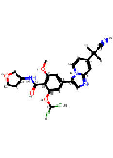 COc1cc(-c2cnc3cc(C(C)(C)C#N)ccn23)cc(OC(F)F)c1C(=O)NC1CCOC1